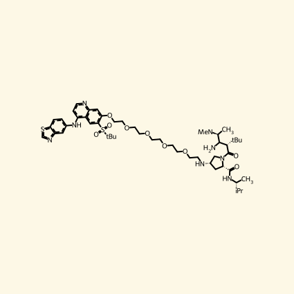 CN[C@@H](C)C(N)[C@@H](C(=O)N1C[C@@H](NCCOCCOCCOCCOCCOc2cc3nccc(Nc4ccc5scnc5c4)c3cc2S(=O)(=O)C(C)(C)C)C[C@H]1C(=O)N[C@H](C)C(C)C)C(C)(C)C